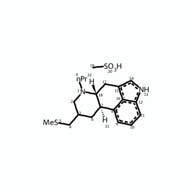 CCCN1CC(CSC)C[C@@H]2c3cccc4[nH]cc(c34)C[C@H]21.CS(=O)(=O)O